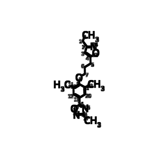 CCc1cc(CCCOc2c(C)cc(-c3nc(C)no3)cc2C)on1